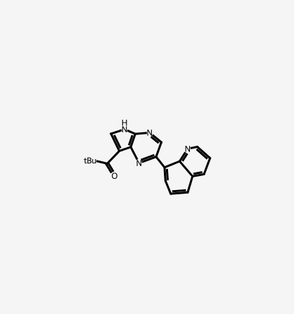 CC(C)(C)C(=O)c1c[nH]c2ncc(-c3cccc4cccnc34)nc12